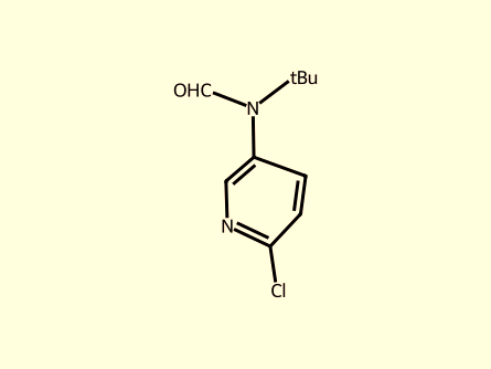 CC(C)(C)N(C=O)c1ccc(Cl)nc1